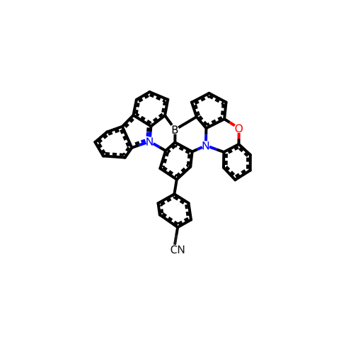 N#Cc1ccc(-c2cc3c4c(c2)-n2c5ccccc5c5cccc(c52)B4c2cccc4c2N3c2ccccc2O4)cc1